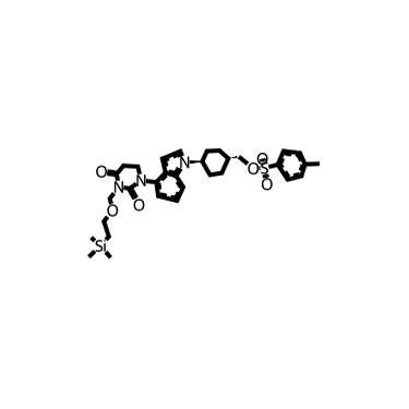 Cc1ccc(S(=O)(=O)OC[C@H]2CC[C@H](n3ccc4c(N5CCC(=O)N(COCC[Si](C)(C)C)C5=O)cccc43)CC2)cc1